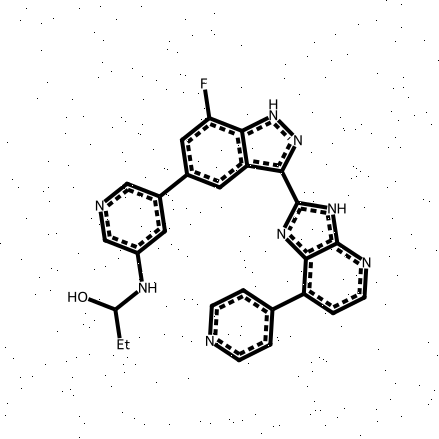 CCC(O)Nc1cncc(-c2cc(F)c3[nH]nc(-c4nc5c(-c6ccncc6)ccnc5[nH]4)c3c2)c1